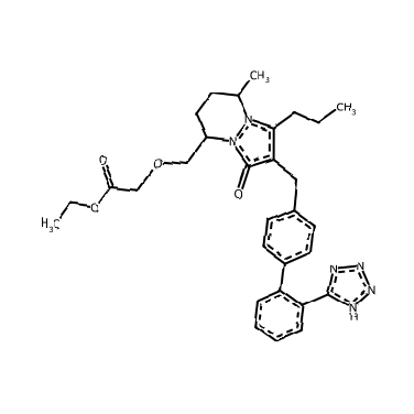 CCCc1c(Cc2ccc(-c3ccccc3-c3nnn[nH]3)cc2)c(=O)n2n1C(C)CCC2COCC(=O)OCC